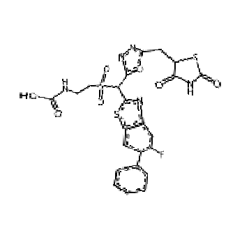 O=C(O)NCCS(=O)(=O)C(c1nnc(CC2SC(=O)NC2=O)o1)c1nc2cc(F)c(-c3ccccc3)cc2s1